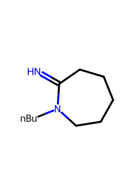 CCCCN1CCCCCC1=N